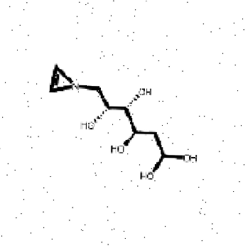 OC(O)C[C@@H](O)[C@@H](O)[C@H](O)CN1C=C1